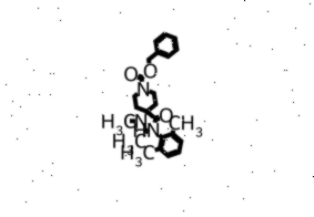 CCN(C)C1(C(=O)Nc2c(C)cccc2C)CCN(C(=O)OCc2ccccc2)CC1